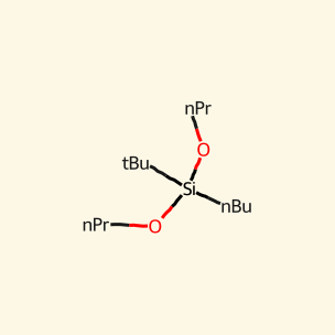 CCCC[Si](OCCC)(OCCC)C(C)(C)C